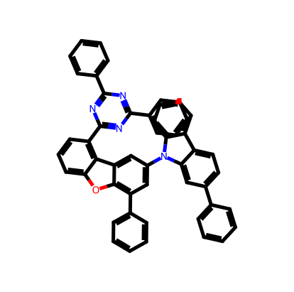 c1ccc(-c2ccc3c4ccccc4n(-c4cc(-c5ccccc5)c5oc6cccc(-c7nc(-c8ccccc8)nc(-c8ccccc8)n7)c6c5c4)c3c2)cc1